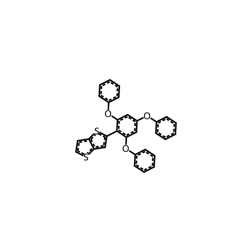 c1ccc(Oc2cc(Oc3ccccc3)c(-c3cc4sccc4s3)c(Oc3ccccc3)c2)cc1